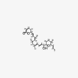 C/C=C/C1OC(C(O)/C=C/C=C(\C)CC(C)/C=C(C)\C=C\C2CC=CC(=O)O2)CCC1C